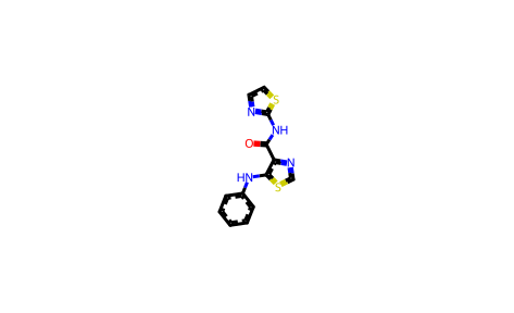 O=C(Nc1nccs1)c1ncsc1Nc1ccccc1